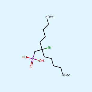 CCCCCCCCCCCCCCC(Br)(CCCCCCCCCCCCCC)CP(=O)(O)O